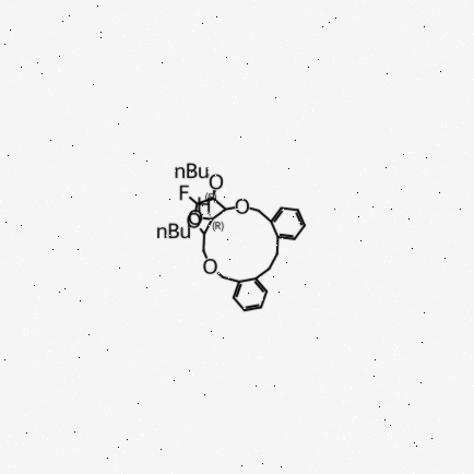 CCCCO[C@@H]1C(F)OC2COCc3ccccc3CCc3ccccc3COC1[C@@H]2OCCCC